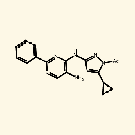 CC(=O)n1nc(Nc2nc(-c3ccccc3)ncc2N)cc1C1CC1